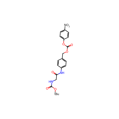 CC(C)(C)OC(=O)NCC(=O)Nc1ccc(COC(=O)Oc2ccc([N+](=O)[O-])cc2)cc1